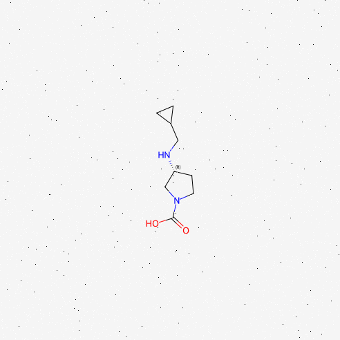 O=C(O)N1CC[C@@H](NCC2CC2)C1